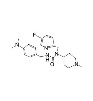 CN1CCC(N(Cc2ccc(F)cn2)C(=O)NCc2ccc(N(C)C)cc2)CC1